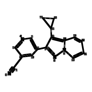 N#Cc1cncc(-c2nn3ccccc3c2C2CC2)c1